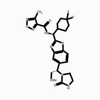 COC[C@H](c1ccc2oc([C@@H](NC(=O)c3nonc3C)C3CCC(F)(F)CC3)nc2c1)N1CCNC1=O